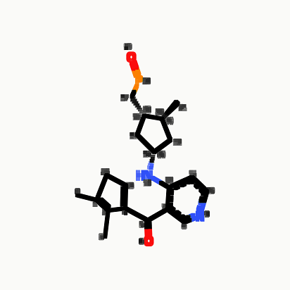 CC1=C(C)C(C(=O)c2cnccc2N[C@@H]2C[C@H](CP=O)[C@@H](C)C2)=CC1